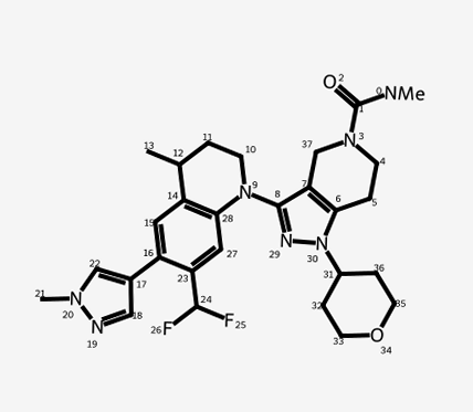 CNC(=O)N1CCc2c(c(N3CCC(C)c4cc(-c5cnn(C)c5)c(C(F)F)cc43)nn2C2CCOCC2)C1